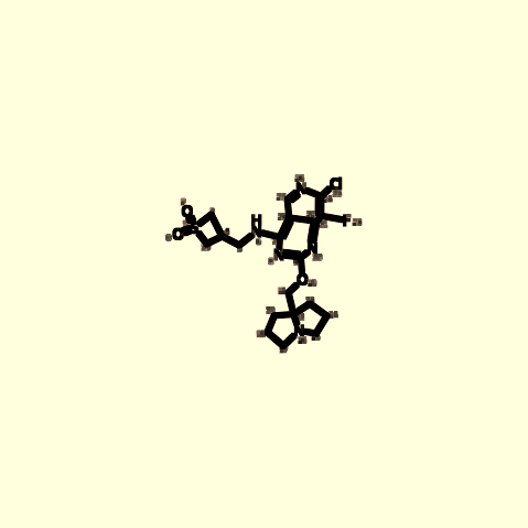 O=S1(=O)CC(CNc2nc(OCC34CCCN3CCC4)nc3c(F)c(Cl)ncc23)C1